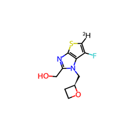 [2H]c1sc2nc(CO)n(C[C@@H]3CCO3)c2c1F